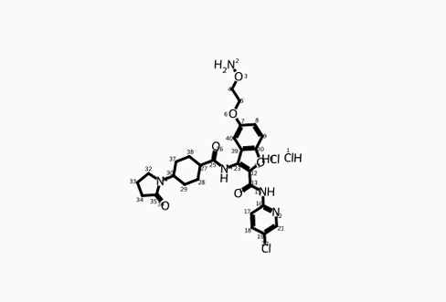 Cl.Cl.NOCCOc1ccc2oc(C(=O)Nc3ccc(Cl)cn3)c(NC(=O)C3CCC(N4CCCC4=O)CC3)c2c1